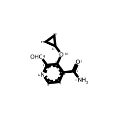 NC(=O)c1ccnc(C=O)c1OC1CC1